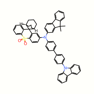 CC1(C)c2ccccc2-c2ccc(N(c3ccc(-c4ccc(-n5c6ccccc6c6ccccc65)cc4)cc3)c3ccc4c(c3)C3(c5ccccc5S4(=O)=O)[C@H]4CCC[C@@H]3CCC4)cc21